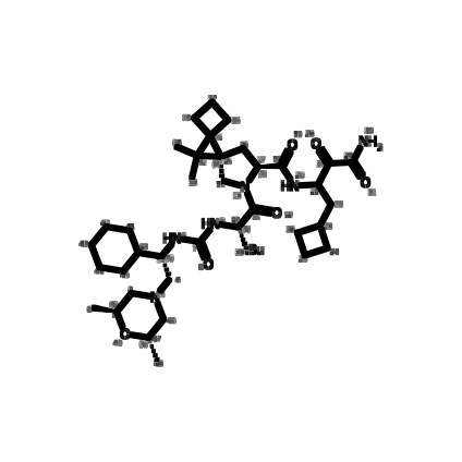 C[C@H]1CN(C[C@@H](NC(=O)N[C@H](C(=O)N2C[C@]3(C[C@H]2C(=O)NC(CC2CCC2)C(=O)C(N)=O)C(C)(C)C32CCC2)C(C)(C)C)C2CCCCC2)C[C@H](C)O1